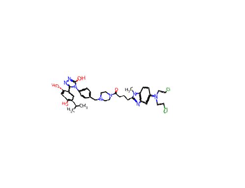 CC(C)c1cc(-c2nnc(O)n2-c2ccc(CN3CCN(C(=O)CCCc4nc5cc(N(CCCl)CCCl)ccc5n4C)CC3)cc2)c(O)cc1O